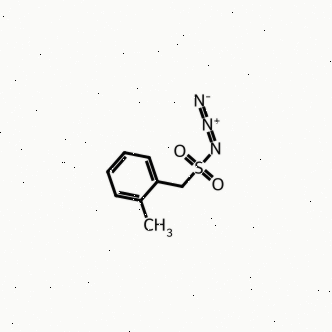 Cc1ccccc1CS(=O)(=O)N=[N+]=[N-]